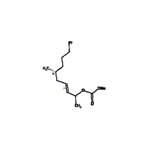 COC(=O)OC(C)/C=C/C[C@H](C)CCCC(C)C